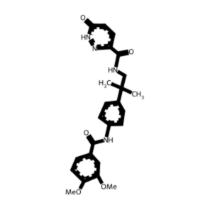 COc1ccc(C(=O)Nc2ccc(C(C)(C)CNC(=O)c3ccc(=O)[nH]n3)cc2)cc1OC